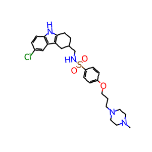 CN1CCN(CCCOc2ccc(S(=O)(=O)NCC3CCc4[nH]c5ccc(Cl)cc5c4C3)cc2)CC1